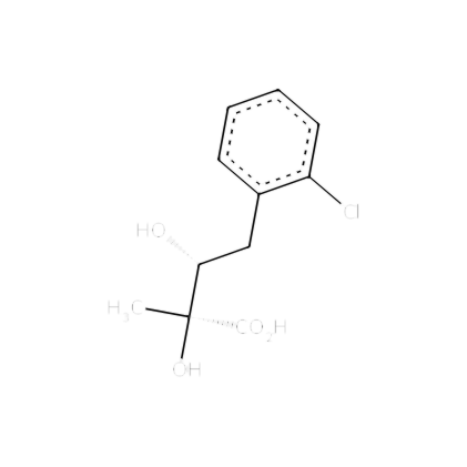 C[C@@](O)(C(=O)O)[C@H](O)Cc1ccccc1Cl